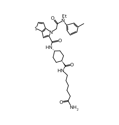 CCN(C(=O)Cn1c(C(=O)N[C@H]2CC[C@H](C(=O)NCCCCCC(N)=O)CC2)cc2sccc21)c1cccc(C)c1